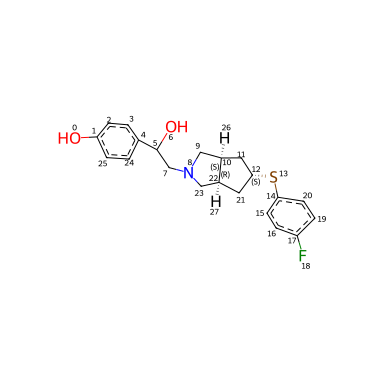 Oc1ccc(C(O)CN2C[C@H]3C[C@H](Sc4ccc(F)cc4)C[C@H]3C2)cc1